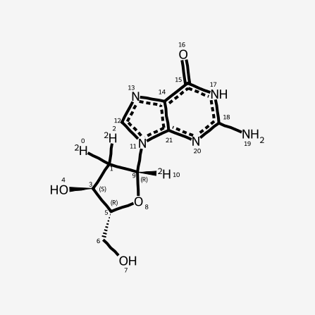 [2H]C1([2H])[C@H](O)[C@@H](CO)O[C@@]1([2H])n1cnc2c(=O)[nH]c(N)nc21